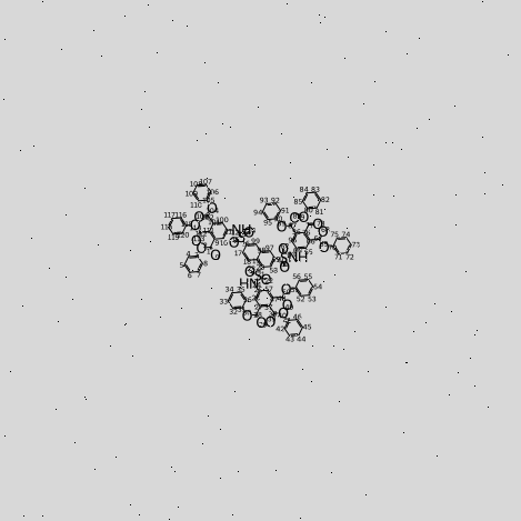 O=C(Oc1ccccc1)c1cc(NS(=O)(=O)c2ccc3c(S(=O)(=O)Nc4cc(C(=O)Oc5ccccc5)c(C(=O)Oc5ccccc5)c(C(=O)Oc5ccccc5)c4)cc(S(=O)(=O)Nc4cc(C(=O)Oc5ccccc5)c(C(=O)Oc5ccccc5)c(C(=O)Oc5ccccc5)c4)cc3c2)cc(C(=O)Oc2ccccc2)c1C(=O)Oc1ccccc1